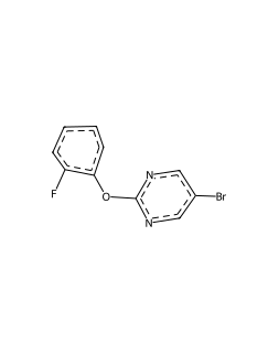 Fc1ccccc1Oc1ncc(Br)cn1